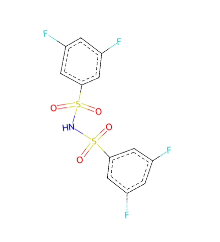 O=S(=O)(NS(=O)(=O)c1cc(F)cc(F)c1)c1cc(F)cc(F)c1